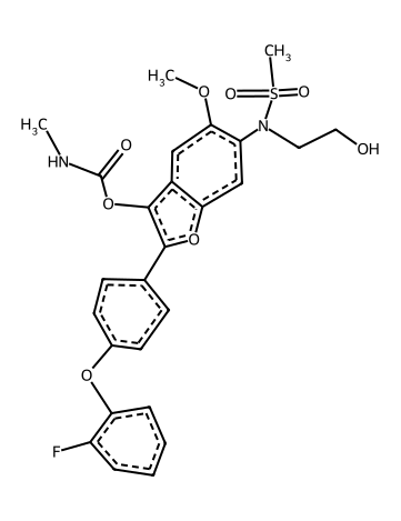 CNC(=O)Oc1c(-c2ccc(Oc3ccccc3F)cc2)oc2cc(N(CCO)S(C)(=O)=O)c(OC)cc12